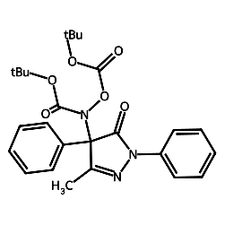 CC1=NN(c2ccccc2)C(=O)C1(c1ccccc1)N(OC(=O)OC(C)(C)C)C(=O)OC(C)(C)C